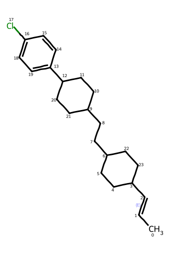 C/C=C/C1CCC(CCC2CCC(c3ccc(Cl)cc3)CC2)CC1